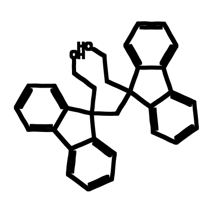 OCCC1(CC2(CCO)c3ccccc3-c3ccccc32)c2ccccc2-c2ccccc21